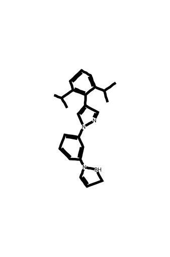 CC(C)c1cccc(C(C)C)c1-c1cnn(-c2cccc(N3BCC=C3)c2)c1